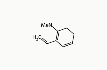 C=CC1=C(NC)CCC=C1